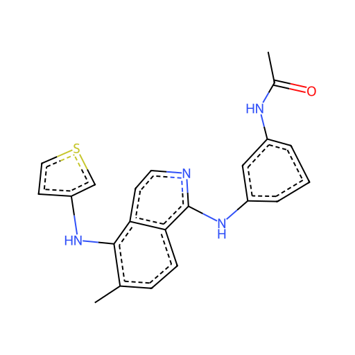 CC(=O)Nc1cccc(Nc2nccc3c(Nc4ccsc4)c(C)ccc23)c1